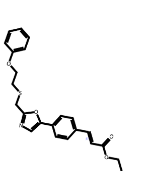 CCOC(=O)/C=C/c1ccc(-c2cnc(CSCCOc3ccccc3)o2)cc1